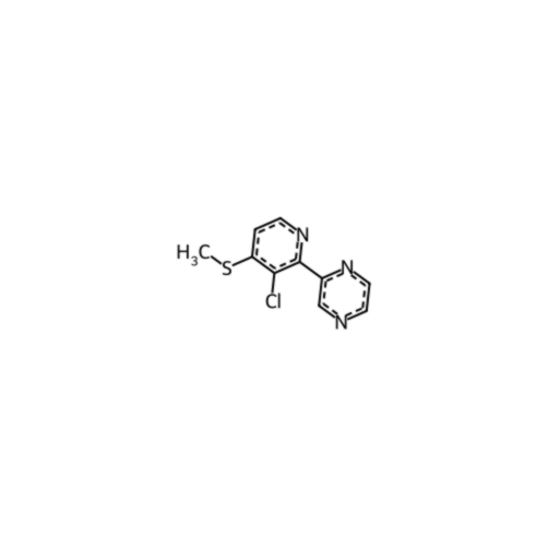 CSc1ccnc(-c2cnccn2)c1Cl